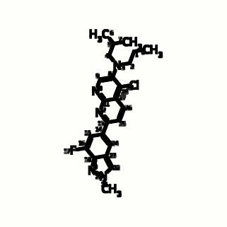 CCCN(CC(C)C)c1cnc2nc(-c3cc(F)c4nn(C)cc4c3)ccc2c1Cl